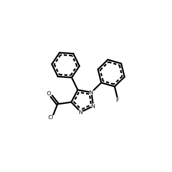 O=C(Cl)c1nnn(-c2ccccc2F)c1-c1ccccc1